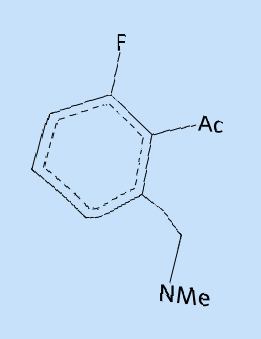 CNCc1cccc(F)c1C(C)=O